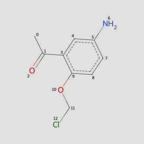 CC(=O)c1cc(N)ccc1OCCl